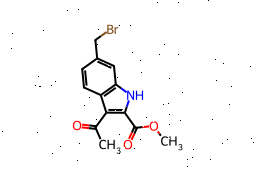 COC(=O)c1[nH]c2cc(CBr)ccc2c1C(C)=O